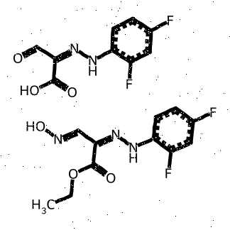 CCOC(=O)C(C=NO)=NNc1ccc(F)cc1F.O=CC(=NNc1ccc(F)cc1F)C(=O)O